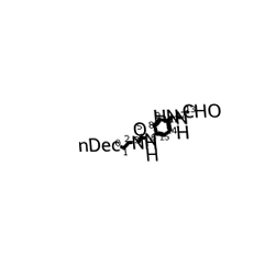 CCCCCCCCCCCCNC(=O)Nc1ccc(NNC=O)cc1